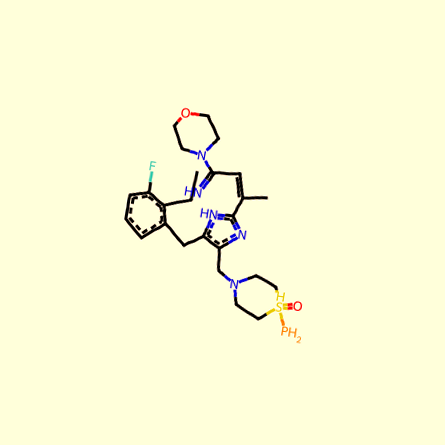 CCc1c(F)cccc1Cc1[nH]c(/C(C)=C\C(=N)N2CCOCC2)nc1CN1CC[SH](=O)(P)CC1